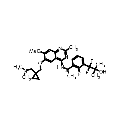 COc1cc2nc(C)nc(N[C@H](C)c3cccc(C(F)(F)C(C)(C)O)c3F)c2cc1OCC1(CN(C)C)CC1